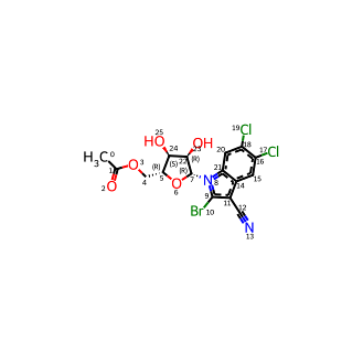 CC(=O)OC[C@H]1O[C@@H](n2c(Br)c(C#N)c3cc(Cl)c(Cl)cc32)[C@H](O)[C@@H]1O